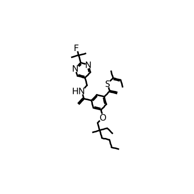 C=C(NCc1cnc(C(C)(C)F)nc1)c1cc(OCC(C)(CC)CCCC)cc(C(=C)S/C(C)=C\C)c1